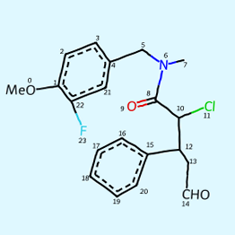 COc1ccc(CN(C)C(=O)C(Cl)C(CC=O)c2ccccc2)cc1F